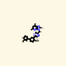 CCc1nc2c(C)cc(C)nc2n1Cc1cnc(-c2cc(-c3cccc(C)c3)ccc2C#N)cn1